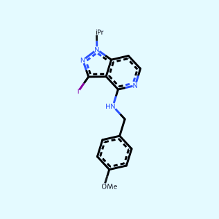 COc1ccc(CNc2nccc3c2c(I)nn3C(C)C)cc1